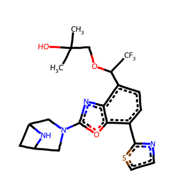 CC(C)(O)COC(c1ccc(-c2nccs2)c2oc(N3CC4CC(C3)N4)nc12)C(F)(F)F